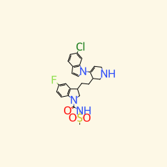 CS(=O)(=O)NC(=O)N1CC(CCC2CNCC=C2n2ccc3ccc(Cl)cc32)c2cc(F)ccc21